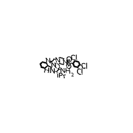 CC(C)[C@H](Nc1nc(CN2CCN(S(=O)(=O)c3cc(Cl)c(Cl)cc3Cl)CC2)nc2ccccc12)C(N)=O